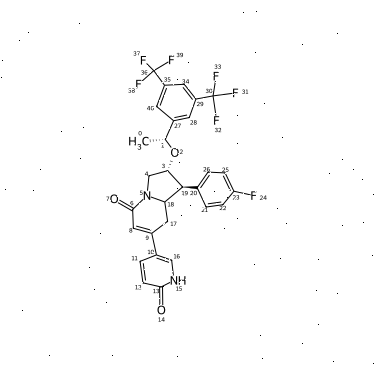 C[C@@H](O[C@H]1CN2C(=O)C=C(c3ccc(=O)[nH]c3)CC2[C@@H]1c1ccc(F)cc1)c1cc(C(F)(F)F)cc(C(F)(F)F)c1